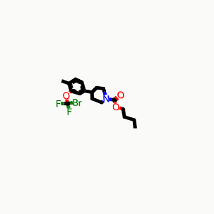 CCCCOC(=O)N1CCC(c2ccc(C)c(OC(F)(F)Br)c2)CC1